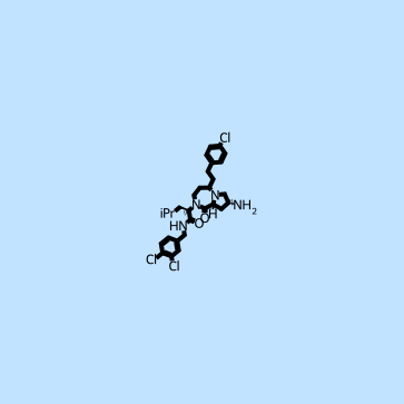 CC(C)C[C@H](C(=O)NCc1ccc(Cl)c(Cl)c1)N1CCC(CCc2ccc(Cl)cc2)N2C[C@H](N)C[C@H]2C1=O